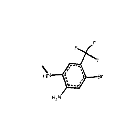 CNc1cc(C(F)(F)F)c(Br)cc1N